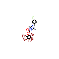 C[C@@H]1CN(Cc2ccc(F)cc2)[C@@H](C)CN1C(=O)COc1c(Br)c(Br)c(Br)c(Br)c1Br